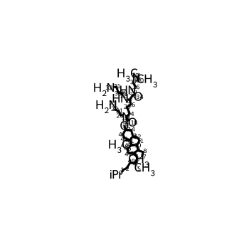 CC(C)CCC[C@@H](C)[C@H]1CCC2C3CC=C4CC(OC(=O)N(CCCN)CCCC(NCCCN)C(=O)NCCN(C)C)CC[C@]4(C)C3CC[C@@]21C